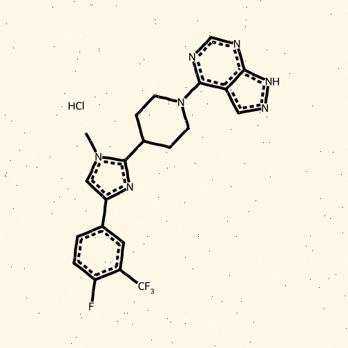 Cl.Cn1cc(-c2ccc(F)c(C(F)(F)F)c2)nc1C1CCN(c2ncnc3[nH]ncc23)CC1